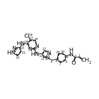 C=CC(=O)Nc1ccc(Cn2cc(Nc3ncc(Cl)c(Nc4cc[nH]n4)n3)cn2)cc1